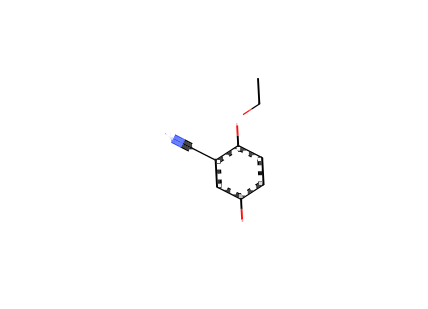 CCOc1ccc([O])cc1C#N